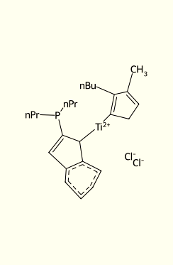 CCCCC1=[C]([Ti+2][CH]2C(P(CCC)CCC)=Cc3ccccc32)CC=C1C.[Cl-].[Cl-]